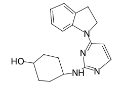 OC1CCC(Nc2nccc(N3CCc4ccccc43)n2)CC1